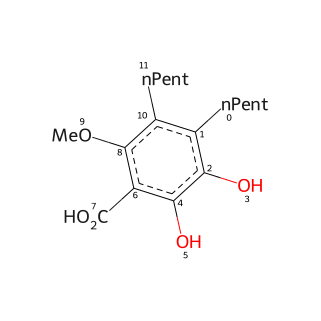 CCCCCc1c(O)c(O)c(C(=O)O)c(OC)c1CCCCC